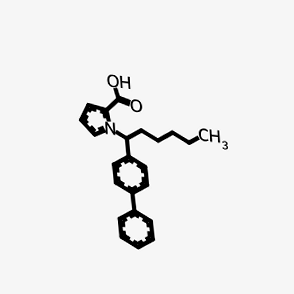 CCCCCC(c1ccc(-c2ccccc2)cc1)n1cccc1C(=O)O